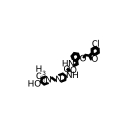 C[C@H]1CN(CCN2CCC(NC(=O)Oc3cc4c(OCc5coc6ccc(Cl)cc56)cccc4[nH]3)CC2)CC[C@@H]1O